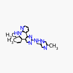 C=CC1=C(/C=C\C)c2cnc(NCc3cnc(C)cn3)nc2-c2cccnc2N1